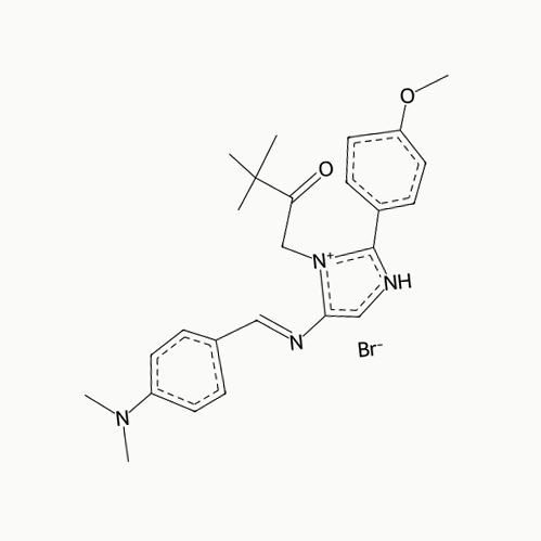 COc1ccc(-c2[nH]cc(N=Cc3ccc(N(C)C)cc3)[n+]2CC(=O)C(C)(C)C)cc1.[Br-]